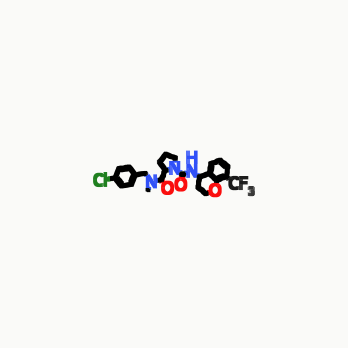 CN(Cc1ccc(Cl)cc1)C(=O)C1CCCN1C(=O)NC1CCOc2c1cccc2C(F)(F)F